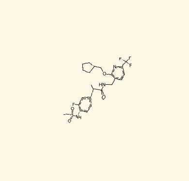 CC(C(=O)NCc1ccc(C(F)(F)F)nc1OCC1CCCC1)c1ccc(NS(C)(=O)=O)c(F)c1